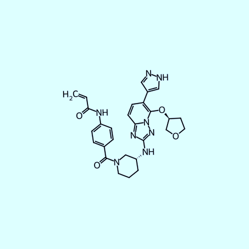 C=CC(=O)Nc1ccc(C(=O)N2CCC[C@@H](Nc3nc4ccc(-c5cn[nH]c5)c(O[C@H]5CCOC5)n4n3)C2)cc1